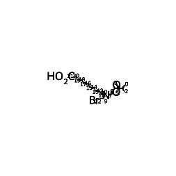 C=C(C)C(=O)OCC[N+](C)(C)CCCCCCCCCCC(=O)O.[Br-]